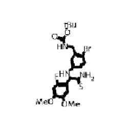 COc1cc(F)c(C(Nc2ccc(Br)c(CNC(=O)OC(C)(C)C)c2)C(N)=S)cc1OC